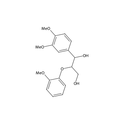 COc1ccc(C(O)C(CO)Oc2ccccc2OC)cc1OC